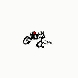 COc1c(F)cccc1C1(NCC(=O)N2CC3CCC(C2)N3c2ccc(C#N)cn2)CC1